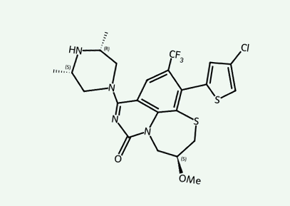 CO[C@@H]1CSc2c(-c3cc(Cl)cs3)c(C(F)(F)F)cc3c(N4C[C@@H](C)N[C@@H](C)C4)nc(=O)n(c23)C1